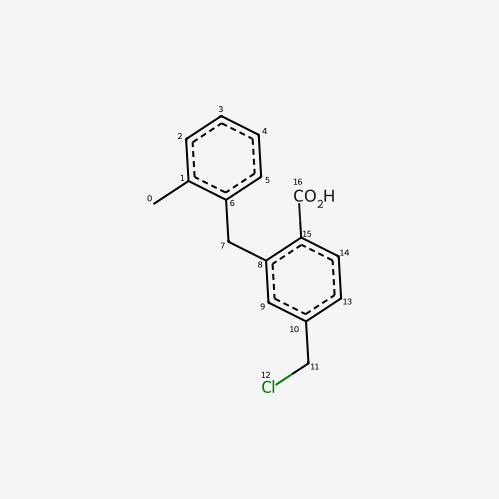 Cc1ccccc1Cc1cc(CCl)ccc1C(=O)O